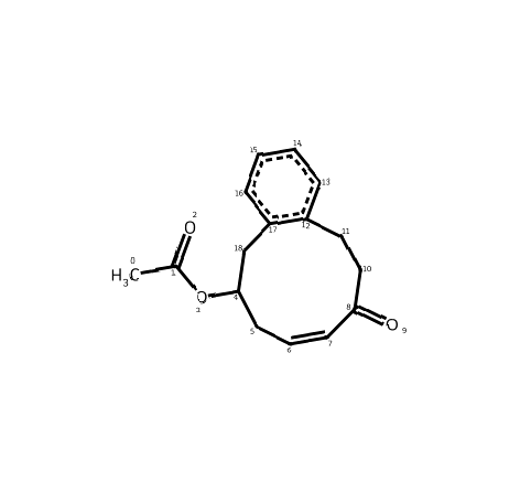 CC(=O)OC1C/C=C\C(=O)[CH]Cc2ccccc2C1